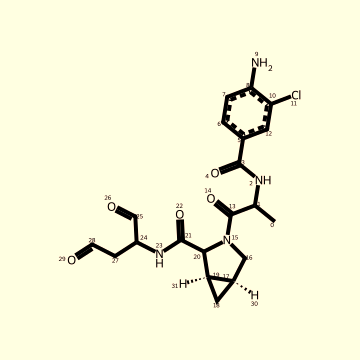 CC(NC(=O)c1ccc(N)c(Cl)c1)C(=O)N1C[C@H]2C[C@H]2C1C(=O)NC(C=O)CC=O